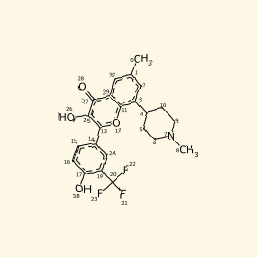 Cc1cc(C2CCN(C)CC2)c2oc(-c3ccc(O)c(C(F)(F)F)c3)c(O)c(=O)c2c1